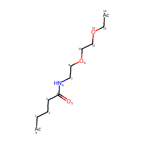 CC(=O)CCCC(=O)NCCOCCOCC(C)=O